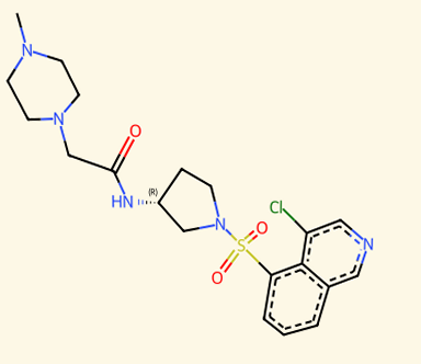 CN1CCN(CC(=O)N[C@@H]2CCN(S(=O)(=O)c3cccc4cncc(Cl)c34)C2)CC1